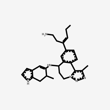 CC/C=C(\CCN)c1ccc2c(c1)C(NC1=Cc3cc[nH]c3CC1C)CCn1nnc(C)c1-2